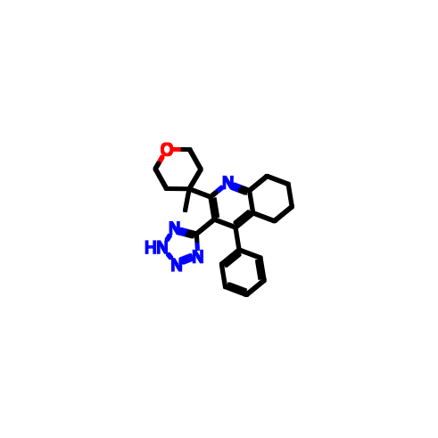 CC1(c2nc3c(c(-c4ccccc4)c2-c2nn[nH]n2)CCCC3)CCOCC1